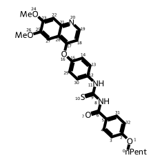 CCCCCOc1ccc(C(=O)NC(=S)Nc2ccc(Oc3ccnc4cc(OC)c(OC)cc34)cc2)cc1